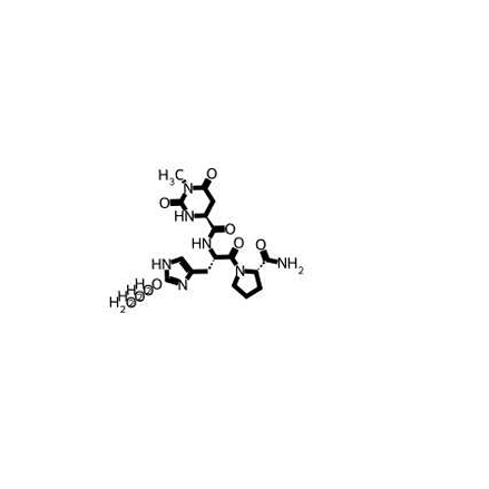 CN1C(=O)C[C@@H](C(=O)N[C@@H](Cc2c[nH]cn2)C(=O)N2CCC[C@H]2C(N)=O)NC1=O.O.O.O.O